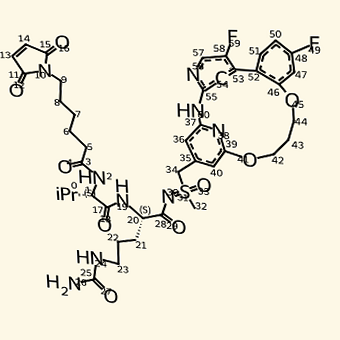 CC(C)[C@H](NC(=O)CCCCCN1C(=O)C=CC1=O)C(=O)N[C@@H](CCCNC(N)=O)C(=O)N=S(C)(=O)Cc1cc2nc(c1)OCCCOc1cc(F)ccc1-c1cc(ncc1F)N2